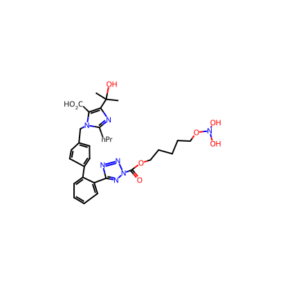 CCCc1nc(C(C)(C)O)c(C(=O)O)n1Cc1ccc(-c2ccccc2-c2nnn(C(=O)OCCCCCON(O)O)n2)cc1